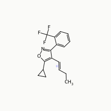 CC/C=C/c1c(-c2ccccc2C(F)(F)F)noc1C1CC1